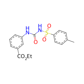 CCOC(=O)c1cccc(NC(=O)NS(=O)(=O)c2ccc(C)cc2)c1